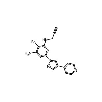 C#CCNc1nc(-n2cc(-c3ccncc3)cn2)nc(N)c1Br